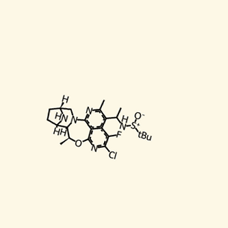 Cc1nc2c3c(nc(Cl)c(F)c3c1C(C)N[S+]([O-])C(C)(C)C)O[C@@H](C)[C@@H]1[C@@H]3CC[C@H](CN21)N3